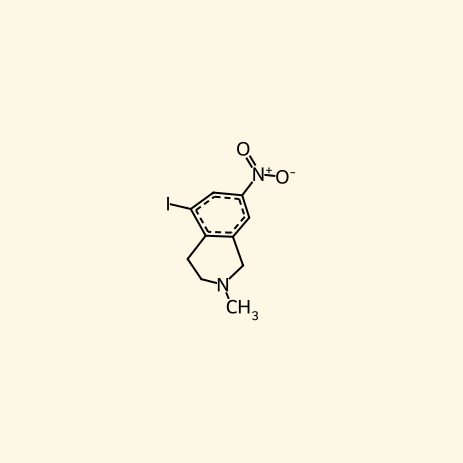 CN1CCc2c(I)cc([N+](=O)[O-])cc2C1